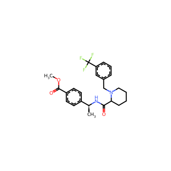 COC(=O)c1ccc([C@H](C)NC(=O)C2CCCCN2Cc2cccc(C(F)(F)F)c2)cc1